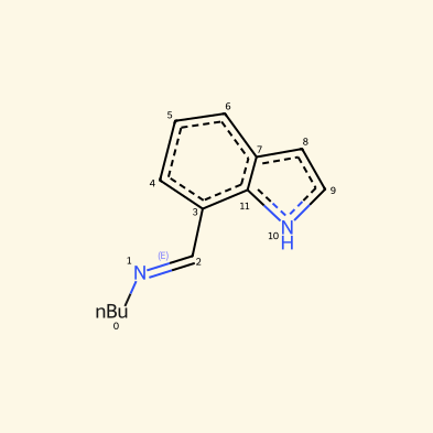 CCCC/N=C/c1cccc2cc[nH]c12